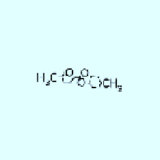 CC1=COC(C(=O)OC2CCC(C)CC2)CC1